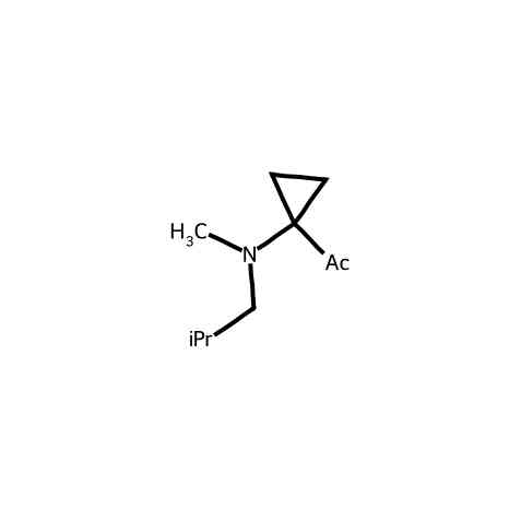 CC(=O)C1(N(C)CC(C)C)CC1